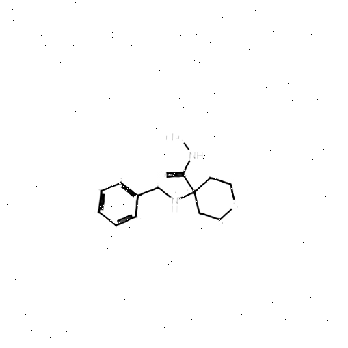 CCCCNC(=O)C1(NCc2ccccc2)CCSCC1